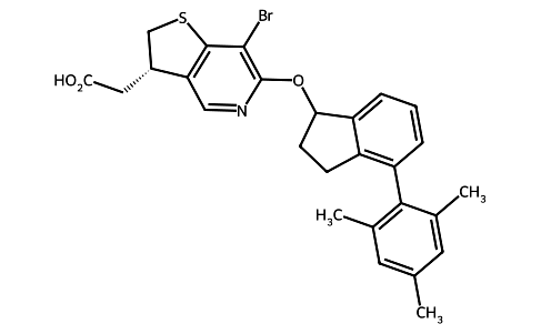 Cc1cc(C)c(-c2cccc3c2CCC3Oc2ncc3c(c2Br)SC[C@H]3CC(=O)O)c(C)c1